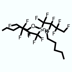 CCCCC[O][Sn]([O]CCCCC)([C](F)(F)C(F)(F)C(F)(F)CF)[C](F)(F)C(F)(F)C(F)(F)CF